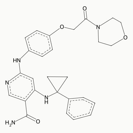 NC(=O)c1cnc(Nc2ccc(OCC(=O)N3CCOCC3)cc2)cc1NC1(c2ccccc2)CC1